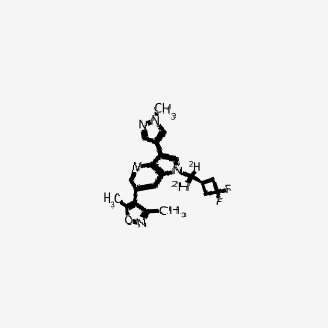 [2H]C([2H])(C1CC(F)(F)C1)n1cc(-c2cnn(C)c2)c2ncc(-c3c(C)noc3C)cc21